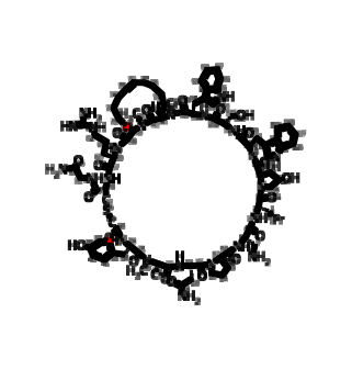 CC(C)C[C@@H]1NC(=O)[C@H](CN)NC(=O)[C@@H]2CCCN2C(=O)[C@H](CC(N)=O)NC(=O)[C@H](C)N(C)C(=O)[C@H](Cc2ccc(O)cc2)NC(=O)CSC[C@H](C(=O)NCC(N)=O)NC(=O)[C@@H](CCCNC(=N)N)NC(=O)[C@@H]2CCCC/C=C\CCCC[C@@H](C(=O)N2C)N(C)C(=O)[C@H](Cc2c[nH]c3ccccc23)NC(=O)[C@H](CO)NC(=O)[C@@H](Cc2c[nH]c3ccccc23)NC(=O)[C@@H]2C[C@@H](O)CN2C1=O